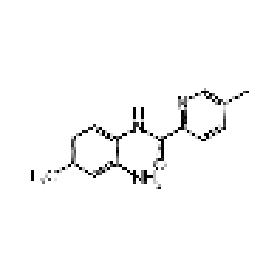 Cc1ccc(C(=O)NC2=CCC(C(F)(F)F)C=C2N)nc1